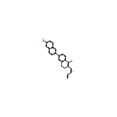 C=C/C=C\C1=C(C)c2ccc(-c3ccc4cc(I)ccc4c3)cc2CC1